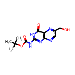 CC(C)(C)OC(=O)Nc1nc2ncc(CO)nc2c(=O)[nH]1